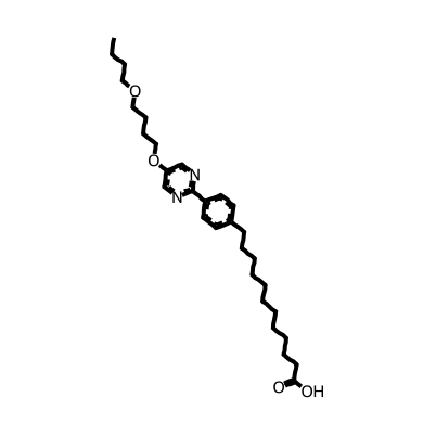 CCCCOCCCCOc1cnc(-c2ccc(CCCCCCCCCCCC(=O)O)cc2)nc1